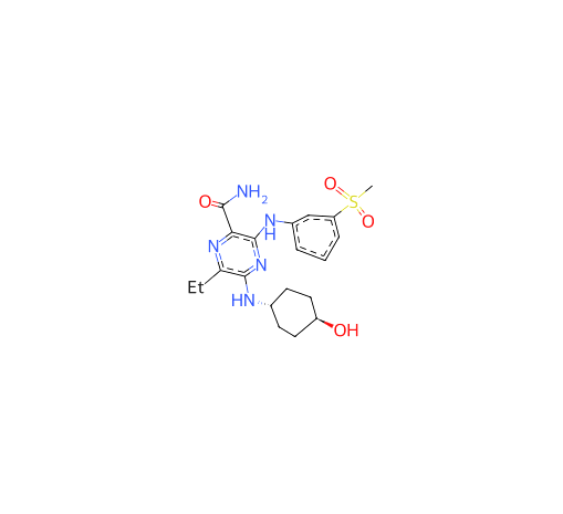 CCc1nc(C(N)=O)c(Nc2cccc(S(C)(=O)=O)c2)nc1N[C@H]1CC[C@H](O)CC1